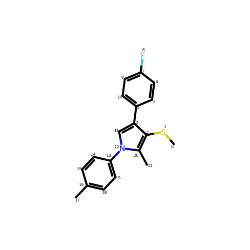 CSc1c(-c2ccc(F)cc2)cn(-c2ccc(C)cc2)c1C